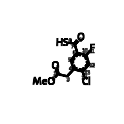 COC(=O)Cc1cc(C(=O)S)c(F)cc1Cl